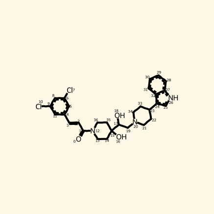 O=C(/C=C/c1cc(Cl)cc(Cl)c1)N1CCC(O)(C(O)CN2CCC(c3c[nH]c4ccccc34)CC2)CC1